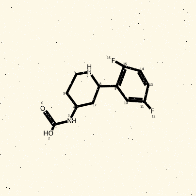 O=C(O)NC1CCNC(c2cc(F)ccc2F)C1